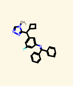 Cn1cnnc1C(c1cc(F)cc(N=C(c2ccccc2)c2ccccc2)c1)C1CCC1